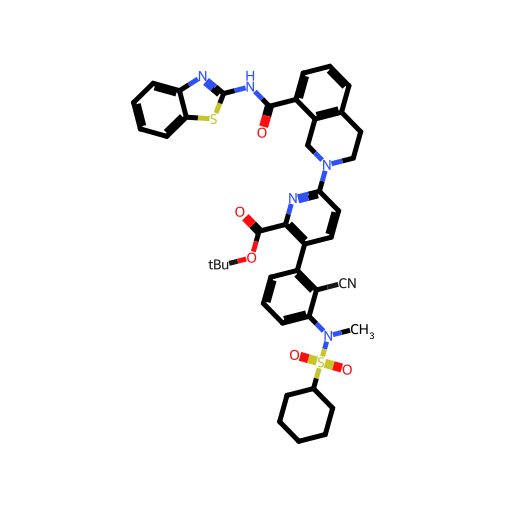 CN(c1cccc(-c2ccc(N3CCc4cccc(C(=O)Nc5nc6ccccc6s5)c4C3)nc2C(=O)OC(C)(C)C)c1C#N)S(=O)(=O)C1CCCCC1